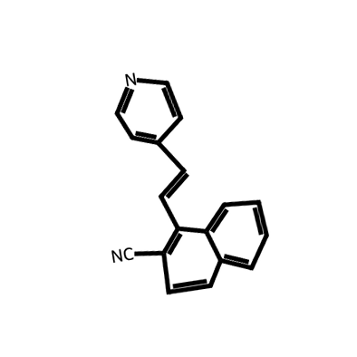 N#Cc1ccc2ccccc2c1C=Cc1ccncc1